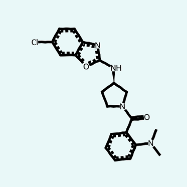 CN(C)c1ccccc1C(=O)N1CC[C@@H](Nc2nc3ccc(Cl)cc3o2)C1